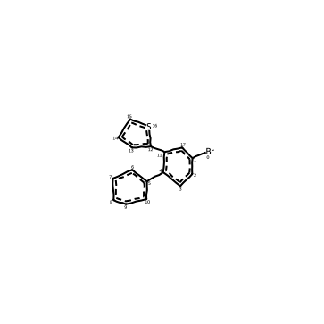 Brc1ccc(-c2ccccc2)c(-c2cccs2)c1